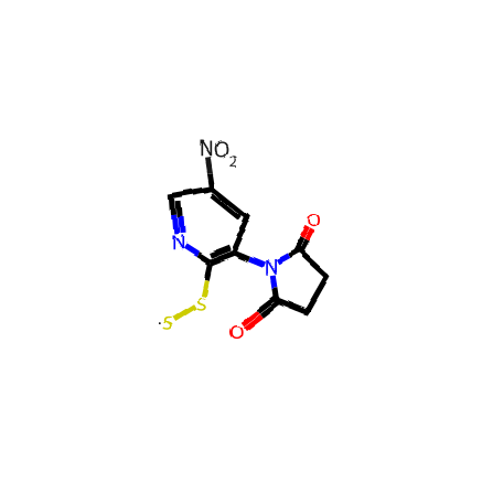 O=C1CCC(=O)N1c1cc([N+](=O)[O-])cnc1S[S]